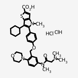 CN(C)CC(=O)N(C)c1ccc(N2CCOCC2)c(COc2ccc(-c3c(C4CCCCC4)c4sc(C(=O)O)cc4n3C)cc2)c1.Cl.Cl